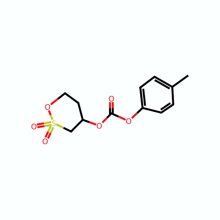 Cc1ccc(OC(=O)OC2CCOS(=O)(=O)C2)cc1